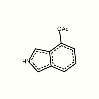 CC(=O)Oc1cccc2c[nH]cc12